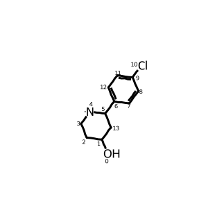 OC1CC[N]C(c2ccc(Cl)cc2)C1